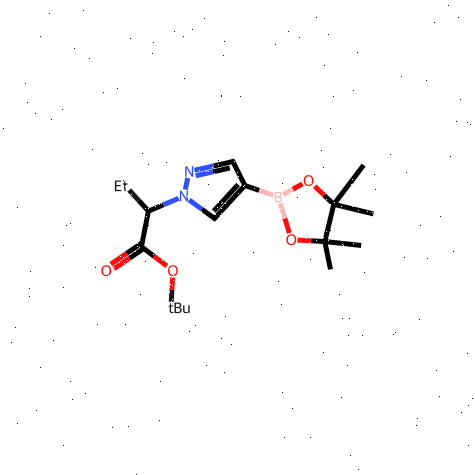 CCC(C(=O)OC(C)(C)C)n1cc(B2OC(C)(C)C(C)(C)O2)cn1